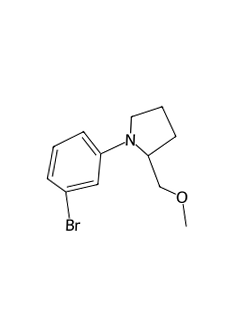 COCC1CCCN1c1cccc(Br)c1